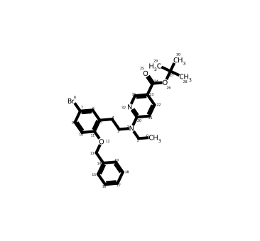 CCN(CCc1cc(Br)ccc1OCc1ccccc1)c1ccc(C(=O)OC(C)(C)C)cn1